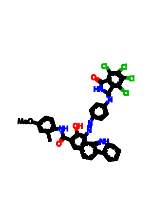 COc1ccc(NC(=O)c2cc3ccc4c5ccccc5[nH]c4c3c(N=Nc3ccc(/N=C4\NC(=O)c5c(Cl)c(Cl)c(Cl)c(Cl)c54)cc3)c2O)c(C)c1